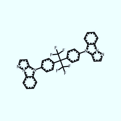 FC(F)(F)C(c1ccc(-n2c3ccccc3n3nccc23)cc1)(c1ccc(-n2c3ccccc3n3nccc23)cc1)C(F)(F)F